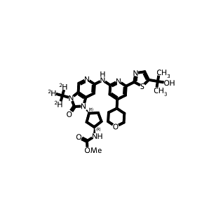 [2H]C([2H])([2H])n1c(=O)n([C@@H]2CC[C@@H](NC(=O)OC)C2)c2cc(Nc3cc(C4CCOCC4)cc(-c4ncc(C(C)(C)O)s4)n3)ncc21